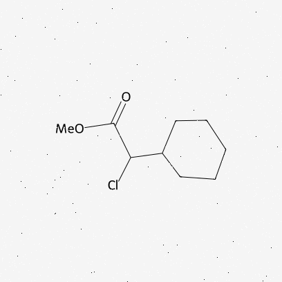 COC(=O)C(Cl)C1CCCCC1